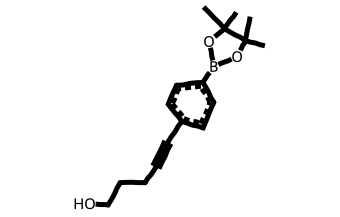 CC1(C)OB(c2ccc(C#CCCCO)cc2)OC1(C)C